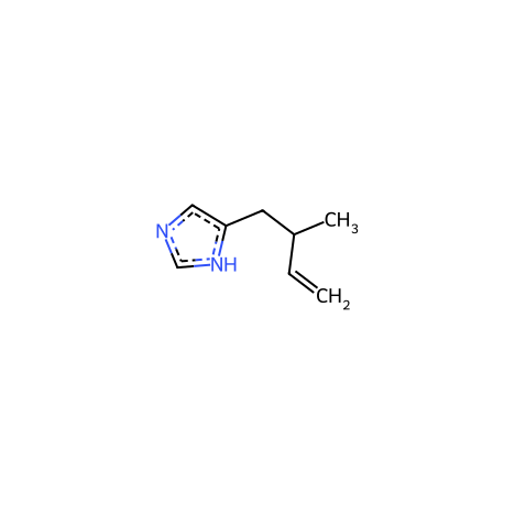 C=CC(C)Cc1cnc[nH]1